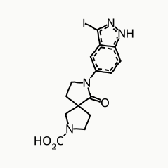 O=C(O)N1CCC2(CCN(c3ccc4[nH]nc(I)c4c3)C2=O)C1